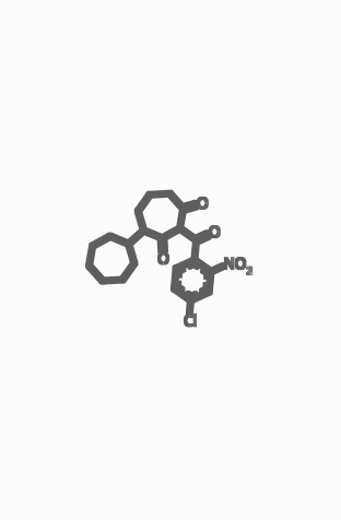 O=C1CCCC(C2CCCCCC2)C(=O)C1C(=O)c1ccc(Cl)cc1[N+](=O)[O-]